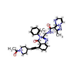 CC(=O)N1CCC(C#Cc2cccc3nc([C@H](C)NC(=O)c4c(C)nn5cccnc45)n(-c4ccccc4)c(=O)c23)CC1